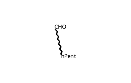 CCCCCC=CC=CCCCCCCCC=O